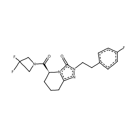 O=C([C@@H]1CCCc2nn(CCc3ccc(F)cc3)c(=O)n21)N1CC(F)(F)C1